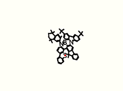 Cc1cc2c(cc1N1B3c4c(cc5c(c4-c4c1ccc1c4sc4ccccc41)C(C)(C)c1ccccc1-5)-n1c4ccc(C(C)(C)C)cc4c4cc(C(C)(C)C)cc3c41)C(C)(C)CCC2(C)C